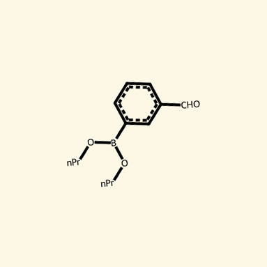 CCCOB(OCCC)c1cccc(C=O)c1